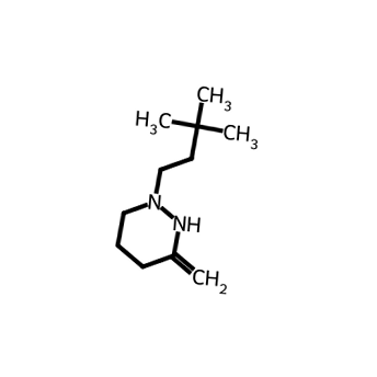 C=C1CCCN(CCC(C)(C)C)N1